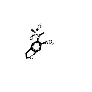 CN(c1cc2c(cc1[N+](=O)[O-])OCC2)S(C)(=O)=O